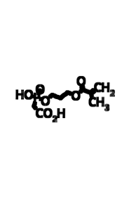 C=C(C)C(=O)OCCCOP(=O)(O)CC(=O)O